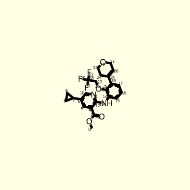 COC(=O)c1cc(C2CC2)cnc1Nc1cccc(C2=CCOCC2)c1OCC(F)(F)F